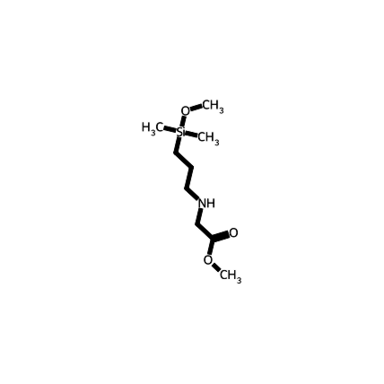 COC(=O)CNCCC[Si](C)(C)OC